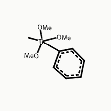 C[O][Ti]([CH3])([O]C)([O]C)[c]1ccccc1